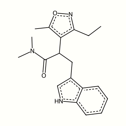 CCc1noc(C)c1C(Cc1c[nH]c2ccccc12)C(=O)N(C)C